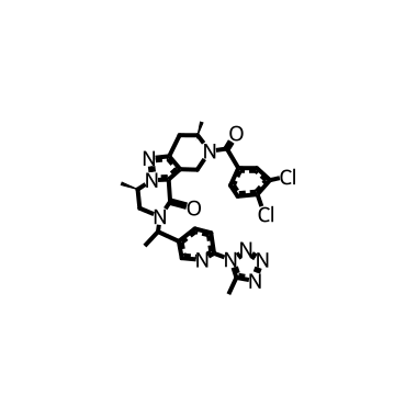 Cc1nnnn1-c1ccc(C(C)N2C[C@@H](C)n3nc4c(c3C2=O)CN(C(=O)c2ccc(Cl)c(Cl)c2)[C@H](C)C4)cn1